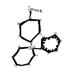 CCCCC[C@H]1CC[C@H]([Si]2(c3ccccc3)CCCCC2)CC1